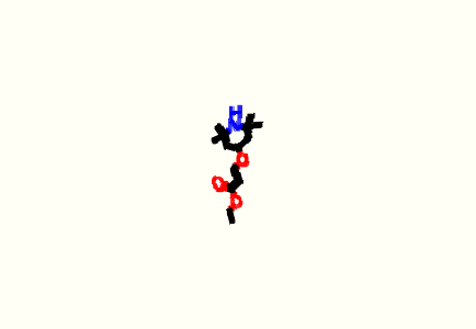 CCOC(=O)C=COC1CC(C)(C)NC(C)(C)C1